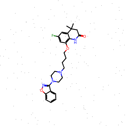 CC1(C)CC(=O)Nc2c(OCCCCN3CCN(c4noc5ccccc45)CC3)cc(F)cc21